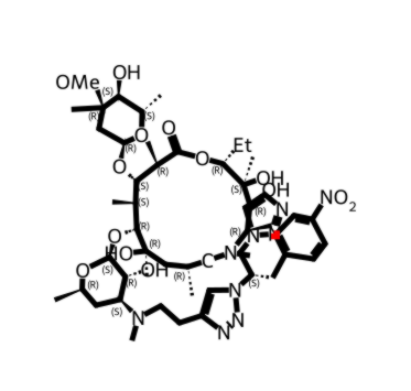 CC[C@H]1OC(=O)[C@H](C)[C@@H](O[C@H]2C[C@@](C)(OC)[C@@H](O)[C@H](C)O2)[C@H](C)[C@@H](O[C@@H]2O[C@H](C)C[C@H](N(C)CCc3cn([C@@H](Cc4ccc([N+](=O)[O-])cc4)Cn4ccnn4)nn3)[C@H]2O)[C@](C)(O)C[C@@H](C)CN(C)[C@H](C)[C@@H](O)[C@]1(C)O